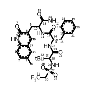 Cc1ccc2[nH]c(=O)c(CC(NC(=O)[C@H](Cc3ccccc3)NC(=O)[C@@H](NS(=O)(=O)CC(F)(F)F)C(C)(C)C)C(N)=O)cc2c1